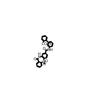 O=C(Nc1cccc(-c2ccccc2C(=O)O)c1)c1ccc2c(c1)NC(=O)c1ccccc1S2(=O)=O